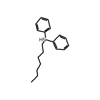 CCCCCCC[SiH](c1ccccc1)c1ccccc1